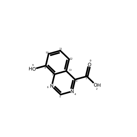 O=C(O)c1ncnc2c(O)cccc12